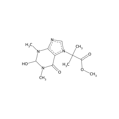 COC(=O)C(C)(C)n1cnc2c1C(=O)N(C)C(O)N2C